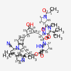 C=CC(=O)N1CC[C@H](C(=O)N(C)[C@H](C(=O)N[C@H]2Cc3cc(O)cc(c3)-c3ccc4c(c3)c(c(-c3cnccc3CC)n4[C@H](C)C#N)CC(C)(C)COC(=O)[C@@H]3CCCN(N3)C2=O)C(C)C)C1